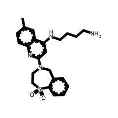 Cc1ccc2nc(N3CCS(=O)(=O)c4ccccc4C3)cc(NCCCCN)c2c1